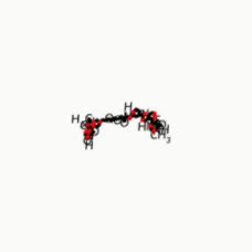 C[C@@H]1CNc2c(sc3ccc4nc(-c5cccc(CNC(=O)COCCOCCc6ccc7c(c6)n(C)c(=O)n7C6CCC(=O)NC6=O)c5)ccc4c23)C(=O)N1